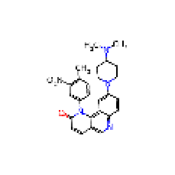 Cc1ccc(-n2c(=O)ccc3cnc4ccc(N5CCC(N(C)C)CC5)cc4c32)cc1[N+](=O)[O-]